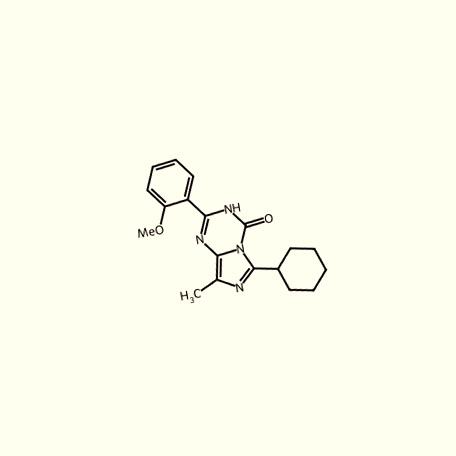 COc1ccccc1-c1nc2c(C)nc(C3CCCCC3)n2c(=O)[nH]1